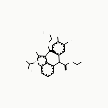 CCOC(=O)c1c(C)n(C(C)C)c2cccc(C(C(=O)OCC)c3ccc(Cl)c(O)c3)c12